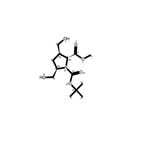 COC(=O)[C@H]1[C@H](CO)C[C@H](CO)N1C(=O)OC(C)(C)C